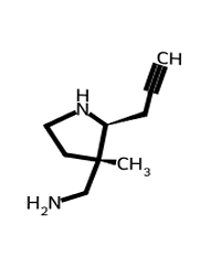 C#CC[C@@H]1NCC[C@@]1(C)CN